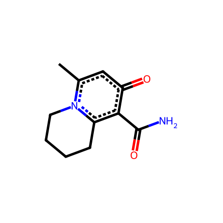 Cc1cc(=O)c(C(N)=O)c2n1CCCC2